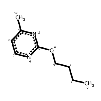 CCCCOc1nccc(C)n1